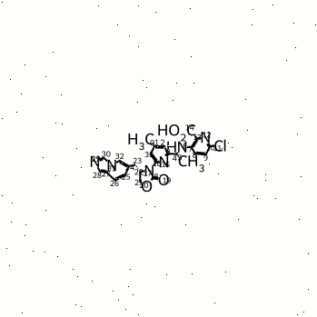 Cc1cc([C@@H](C)Nc2ccc(Cl)nc2C(=O)O)nc(N2C(=O)OC[C@@H]2Cc2ccc3cncn3c2)c1